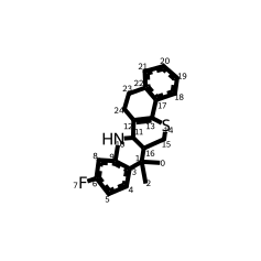 CC1(C)c2ccc(F)cc2NC2C3=C(SCC21)c1ccccc1CC3